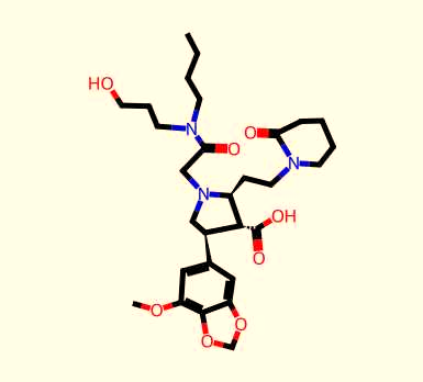 CCCCN(CCCO)C(=O)CN1C[C@H](c2cc(OC)c3c(c2)OCO3)[C@@H](C(=O)O)[C@@H]1CCN1CCCCC1=O